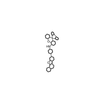 c1ccc2c(c1)Oc1c(Nc3ccc(-c4ccc5c(c4)oc4c6ccccc6ccc54)cc3)cccc1C21c2ccccc2-c2ccccc21